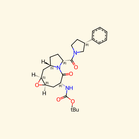 CC(C)(C)OC(=O)N[C@@H]1C[C@H]2O[C@H]2C[C@@H]2CC[C@H](C(=O)N3CC[C@H](c4ccccc4)C3)N2C1=O